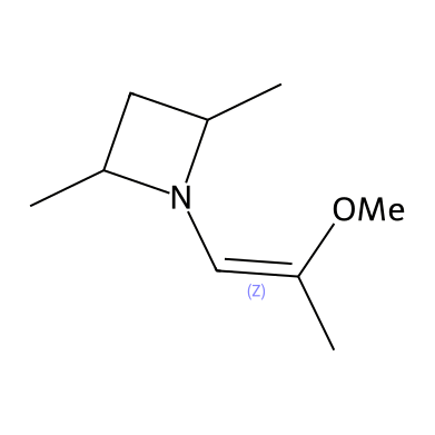 CO/C(C)=C\N1C(C)CC1C